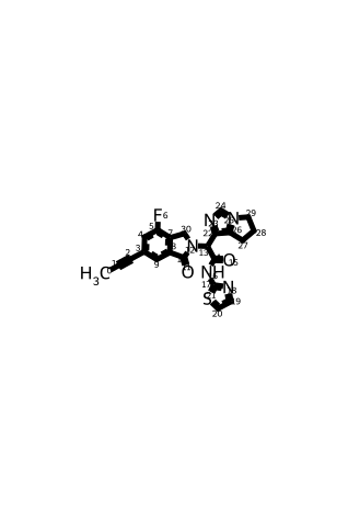 CC#Cc1cc(F)c2c(c1)C(=O)N(C(C(=O)Nc1nccs1)c1ncn3c1CCC3)C2